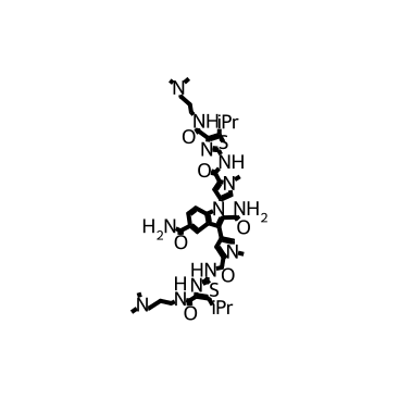 CC(C)c1sc(NC(=O)c2cc(-c3c(C(N)=O)n(-c4cc(C(=O)Nc5nc(C(=O)NCCCN(C)C)c(C(C)C)s5)n(C)c4)c4ccc(C(N)=O)cc34)cn2C)nc1C(=O)NCCCN(C)C